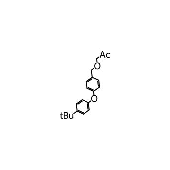 CC(=O)COCc1ccc(Oc2ccc(C(C)(C)C)cc2)cc1